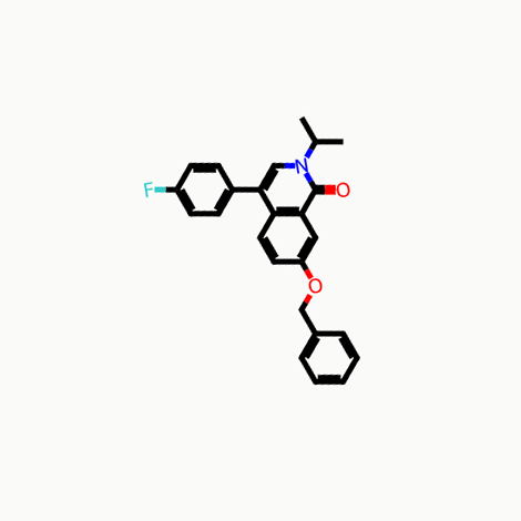 CC(C)n1cc(-c2ccc(F)cc2)c2ccc(OCc3ccccc3)cc2c1=O